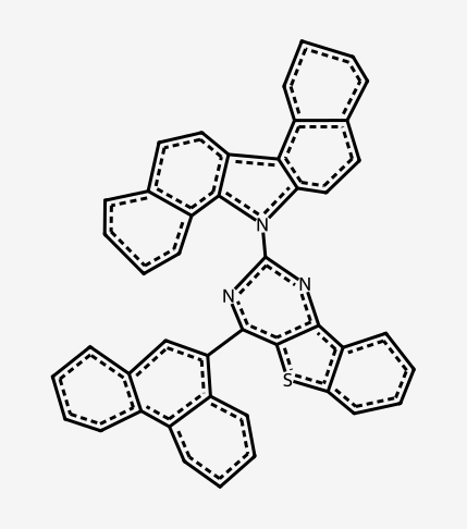 c1ccc2c(c1)cc(-c1nc(-n3c4ccc5ccccc5c4c4ccc5ccccc5c43)nc3c1sc1ccccc13)c1ccccc12